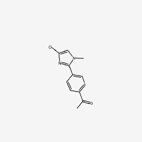 CC(=O)c1ccc(-c2nc(Cl)cn2C)cc1